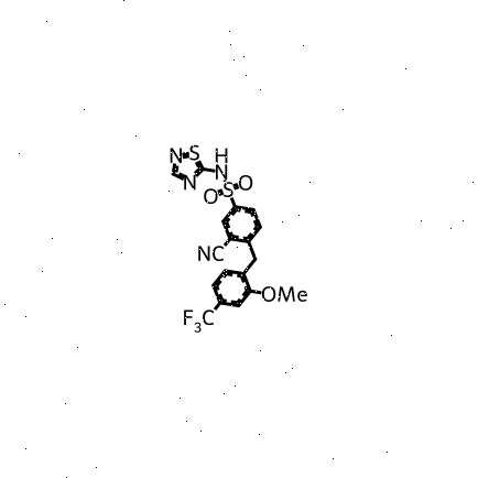 COc1cc(C(F)(F)F)ccc1Cc1ccc(S(=O)(=O)Nc2ncns2)cc1C#N